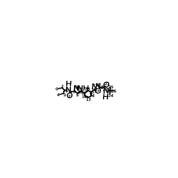 CCC(CC)NC(=O)c1cc(-c2cccc(-c3ncc(C(=O)NC(C)(C)C)o3)c2)[nH]n1